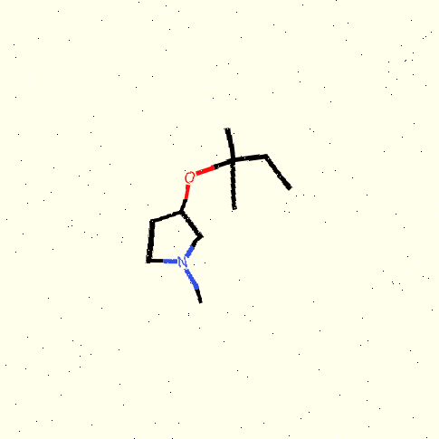 CCC(C)(C)OC1CCN(C)C1